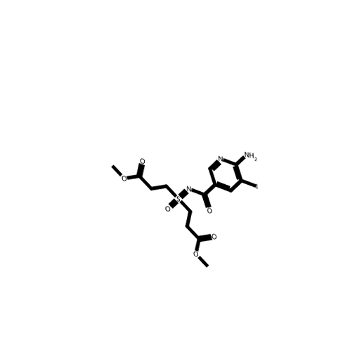 COC(=O)CCS(=O)(CCC(=O)OC)=NC(=O)c1cnc(N)c(I)c1